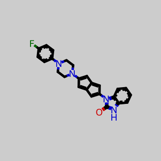 O=c1[nH]c2ccccc2n1C1=CC2=CC(N3CCN(c4ccc(F)cc4)CC3)=CC2=C1